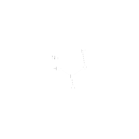 CCOP([O-])O.[Na+]